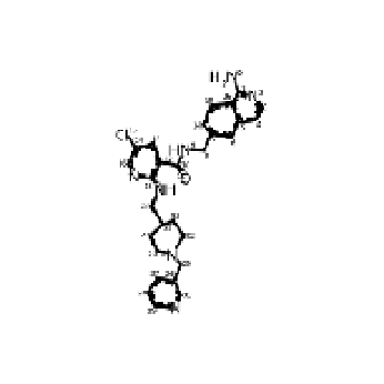 Nc1nccc2cc(CNC(=O)c3cc(Cl)cnc3NCC3CCN(Cc4cccnc4)CC3)ccc12